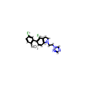 O=[N+]([O-])c1ccc(F)cc1-c1ccc2c(c1F)CCN2CCn1cncn1